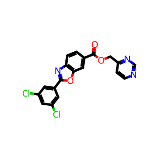 O=C(OCc1ccncn1)c1ccc2nc(-c3cc(Cl)cc(Cl)c3)oc2c1